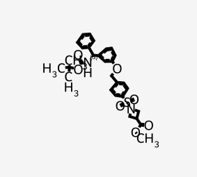 COC(=O)C1CN(S(=O)(=O)c2ccc(COc3cccc([C@@H](NC(=O)OC(C)(C)C)c4ccccc4)c3)cc2)C1